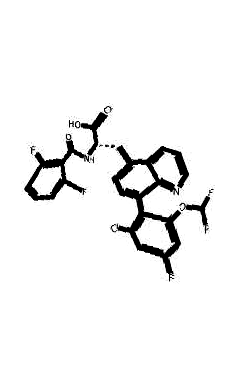 O=C(N[C@@H](Cc1ccc(-c2c(Cl)cc(F)cc2OC(F)F)c2ncccc12)C(=O)O)c1c(F)cccc1F